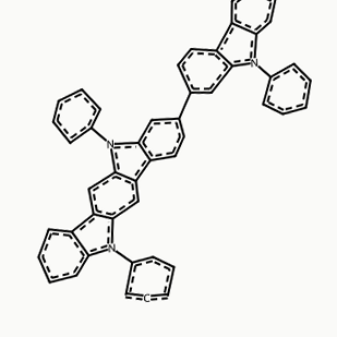 c1ccc(-n2c3ccccc3c3ccc(-c4ccc5c6cc7c(cc6n(-c6ccccc6)c5c4)c4ccccc4n7-c4ccccc4)cc32)cc1